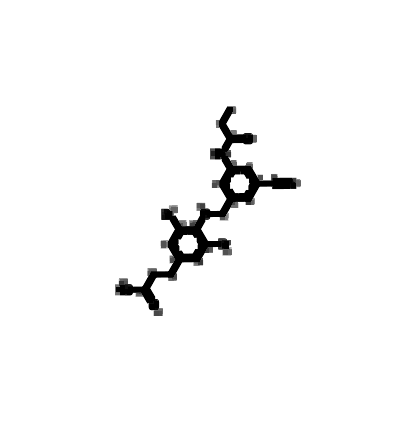 CCC(=O)Nc1cc(C#N)cc(COc2c(Br)cc(CCC(=O)O)cc2Br)c1